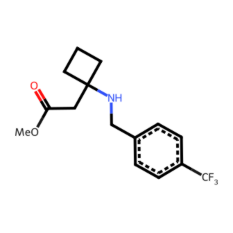 COC(=O)CC1(NCc2ccc(C(F)(F)F)cc2)CCC1